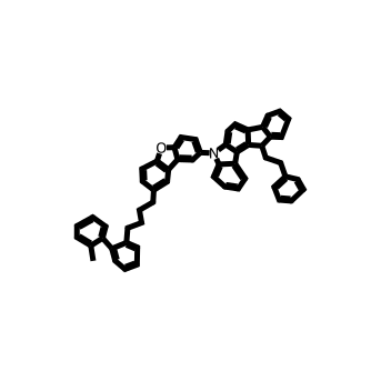 Cc1ccccc1-c1ccccc1CCCCc1ccc2oc3ccc(-n4c5ccccc5c5c6c(ccc54)-c4ccccc4C6CCc4ccccc4)cc3c2c1